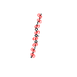 C=CC(=O)OCCOC(=O)CCCC(=O)Oc1ccc(C(=O)Oc2ccc(OC(=O)c3ccc(OC(=O)CCCC(=O)OCCOC(=O)C=C)cc3)c(C)c2)cc1